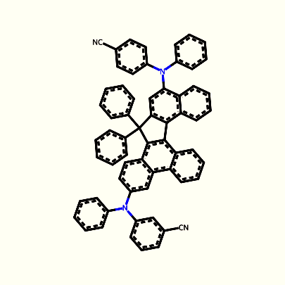 N#Cc1ccc(N(c2ccccc2)c2cc3c(c4ccccc24)-c2c(c4ccc(N(c5ccccc5)c5cccc(C#N)c5)cc4c4ccccc24)C3(c2ccccc2)c2ccccc2)cc1